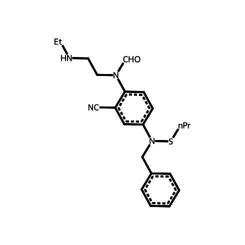 CCCSN(Cc1ccccc1)c1ccc(N(C=O)CCNCC)c(C#N)c1